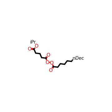 CCCCCCCCCCCCCCCC(=O)OOC(=O)CCCC(=O)OC(C)C